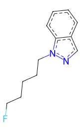 FCCCCCn1ncc2ccccc21